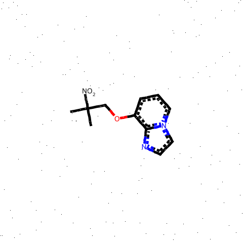 CC(C)(COc1cccn2ccnc12)[N+](=O)[O-]